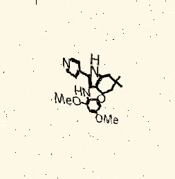 COc1ccc(Nc2c(-c3ccncc3)[nH]c3c2C(=O)CC(C)(C)C3)c(OC)c1